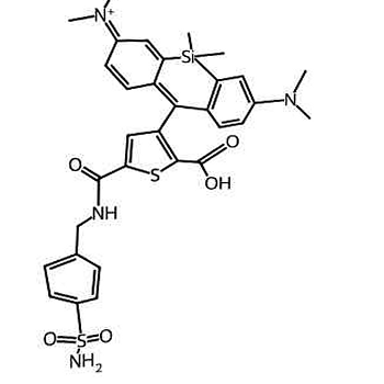 CN(C)c1ccc2c(c1)[Si](C)(C)C1=CC(=[N+](C)C)C=CC1=C2c1cc(C(=O)NCc2ccc(S(N)(=O)=O)cc2)sc1C(=O)O